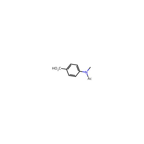 CC(=O)N(C)c1ccc(C(=O)O)cc1